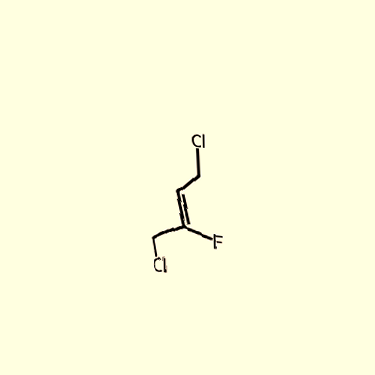 FC(=CCCl)CCl